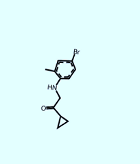 Cc1cc(Br)ccc1NCC(=O)C1CC1